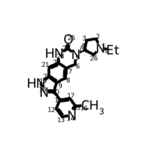 CCN1CC[C@H](N2Cc3cc4c(-c5ccnc(C)c5)n[nH]c4cc3NC2=O)C1